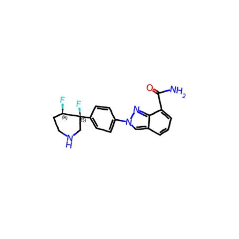 NC(=O)c1cccc2cn(-c3ccc([C@]4(F)CNCC[C@H]4F)cc3)nc12